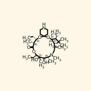 CC[C@@H]1OC2(CCNCC2)O[C@@](C)([C@@H](C)C(C)(C)C)C[C@@H](C)CN(C)[C@H](C)[C@@H](O)[C@](C)(O)[C@@H](CC)OC(=O)[C@@H]1C